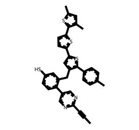 CC#Cc1ncc(-c2ccc(S)cc2Cc2cc(-c3ccc(-c4sc(C)cc4C)s3)sc2-c2ccc(C)cc2)cn1